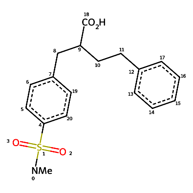 CNS(=O)(=O)c1ccc(CC(CCc2ccccc2)C(=O)O)cc1